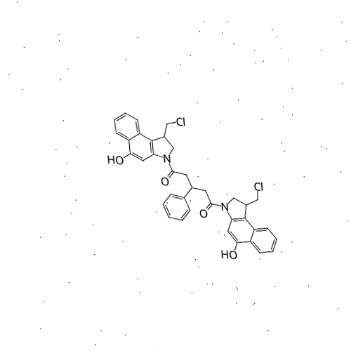 O=C(CC(CC(=O)N1CC(CCl)c2c1cc(O)c1ccccc21)c1ccccc1)N1CC(CCl)c2c1cc(O)c1ccccc21